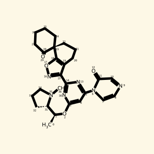 C[C@H](Oc1cc(-n2ccncc2=O)nc(-c2noc3c2CCC[C@@]32CCCCC2=O)n1)[C@@H]1CCCN1C